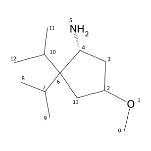 COC1C[C@@H](N)C(C(C)C)(C(C)C)C1